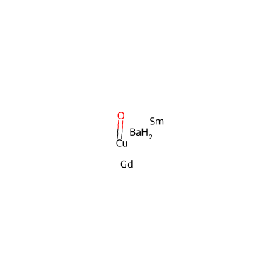 [BaH2].[Gd].[O]=[Cu].[Sm]